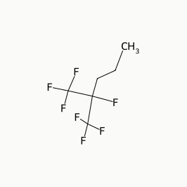 CCCC(F)(C(F)(F)F)C(F)(F)F